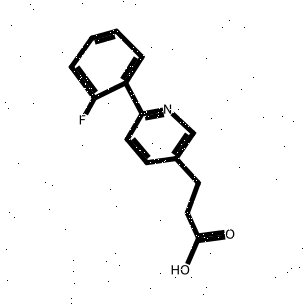 O=C(O)CCc1ccc(-c2ccccc2F)nc1